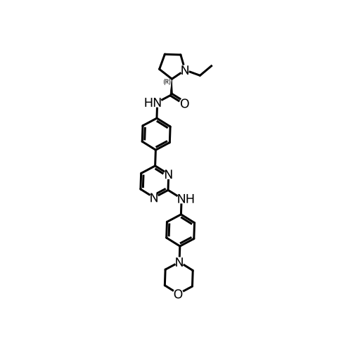 CCN1CCC[C@@H]1C(=O)Nc1ccc(-c2ccnc(Nc3ccc(N4CCOCC4)cc3)n2)cc1